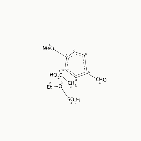 CC(=O)O.CCOS(=O)(=O)O.COc1ccc(C=O)cc1